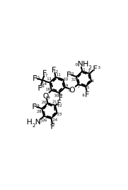 Nc1c(F)cc(F)c(Oc2cc(F)c(C(F)(F)F)c(Oc3c(F)cc(F)c(N)c3F)c2F)c1F